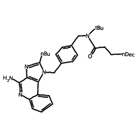 CCCCCCCCCCCCC(=O)N(Cc1ccc(Cn2c(CCCC)nc3c(N)nc4ccccc4c32)cc1)C(C)(C)C